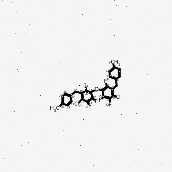 Cc1ccc(Cc2c(F)c(Oc3c(F)c(F)c(Cl)c(Cc4ccc(C)cc4)c3F)c(F)c(F)c2Cl)cc1